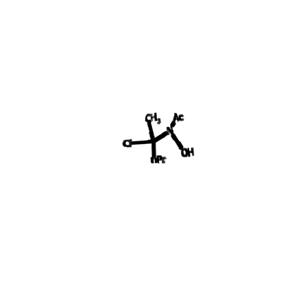 CCCC(C)(Cl)N(O)C(C)=O